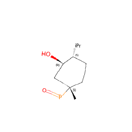 CC(C)[C@@H]1CC[C@](C)(P=O)C[C@H]1O